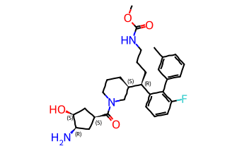 COC(=O)NCCC[C@@H](c1cccc(F)c1-c1cccc(C)c1)[C@@H]1CCCN(C(=O)[C@H]2C[C@@H](N)[C@@H](O)C2)C1